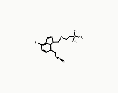 C[Si](C)(C)CCOCn1ncc2c(Br)ccc(CN=[N+]=[N-])c21